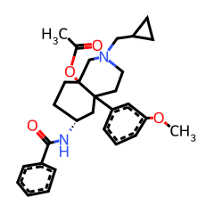 COc1cccc(C23CCN(CC4CC4)CC2(OC(C)=O)CC[C@@H](NC(=O)c2ccccc2)C3)c1